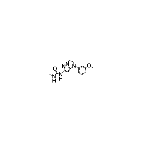 CNC(=O)Nc1cc2n(n1)CCN2c1cccc(OC)c1